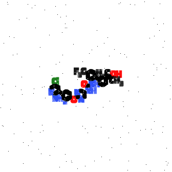 CC(C)(O)c1cccc(-c2ccc(C(F)(F)F)cc2NC(=O)Nc2cnc(Oc3ccc(-c4cc(Cl)cnc4N)cc3)nc2)c1